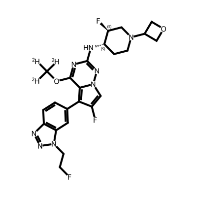 [2H]C([2H])([2H])Oc1nc(N[C@H]2CCN(C3COC3)C[C@@H]2F)nn2cc(F)c(-c3ccc4nnn(CCF)c4c3)c12